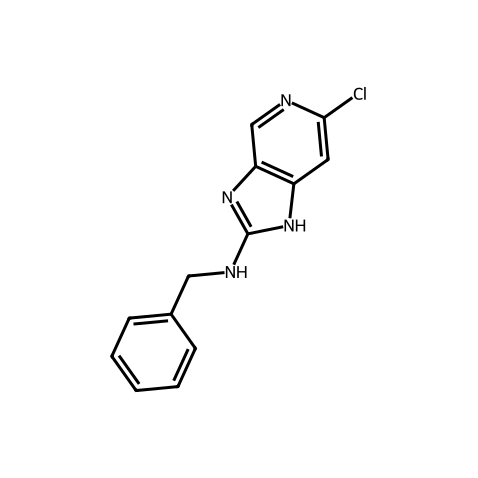 Clc1cc2[nH]c(NCc3ccccc3)nc2cn1